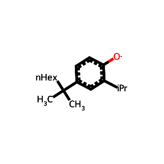 CCCCCCC(C)(C)c1ccc([O])c(C(C)C)c1